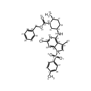 Cc1ccc(S(=O)(=O)n2cc(I)c3c(N[C@@H]4CC[C@H](C)N(C(=O)OCc5ccccc5)C4)nc(Cl)nc32)cc1